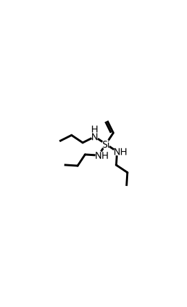 C=C[Si](NCCC)(NCCC)NCCC